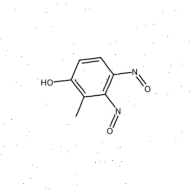 Cc1c(O)ccc(N=O)c1N=O